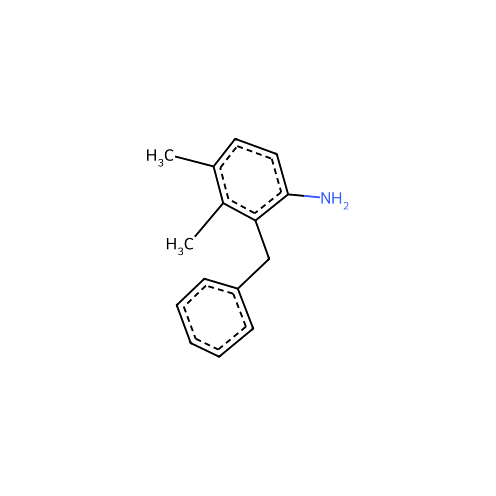 Cc1ccc(N)c(Cc2ccccc2)c1C